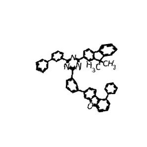 CC1(C)c2ccccc2-c2ccc(-c3nc(-c4cccc(-c5ccccc5)c4)nc(-c4cccc(-c5ccc6c(c5)oc5cccc(-c7ccccc7)c56)c4)n3)cc21